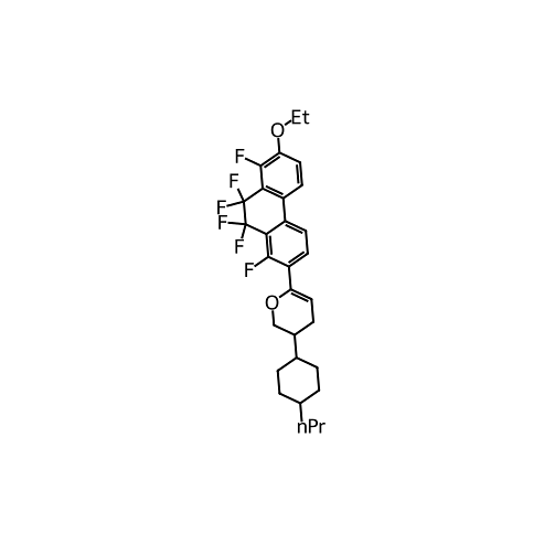 CCCC1CCC(C2CC=C(c3ccc4c(c3F)C(F)(F)C(F)(F)c3c-4ccc(OCC)c3F)OC2)CC1